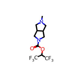 CN1CC2CN(C(=O)OC(C(F)(F)F)C(F)(F)F)CC2C1